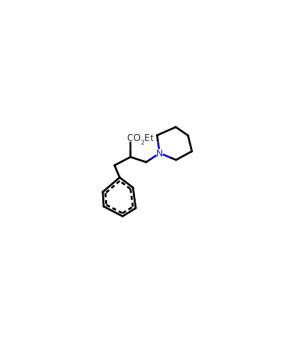 CCOC(=O)C(Cc1ccccc1)CN1CCCCC1